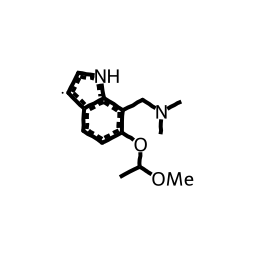 COC(C)Oc1ccc2[c]c[nH]c2c1CN(C)C